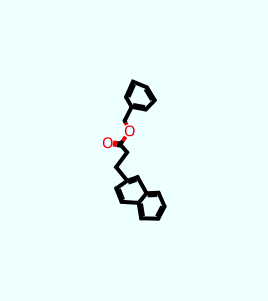 O=C(CCc1ccc2ccccc2c1)OCc1ccccc1